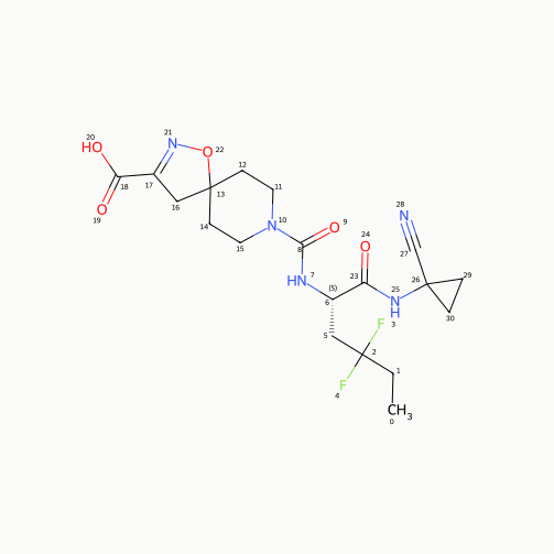 CCC(F)(F)C[C@H](NC(=O)N1CCC2(CC1)CC(C(=O)O)=NO2)C(=O)NC1(C#N)CC1